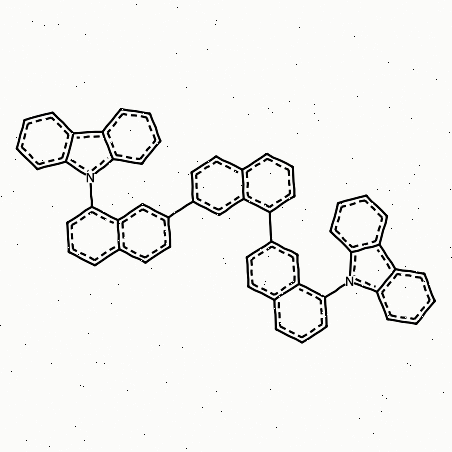 c1cc(-c2ccc3cccc(-n4c5ccccc5c5ccccc54)c3c2)c2cc(-c3ccc4cccc(-n5c6ccccc6c6ccccc65)c4c3)ccc2c1